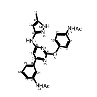 CC(=O)Nc1ccc(Oc2nc(Nc3cc(C)[nH]n3)cc(-c3cccc(NC(C)=O)c3)n2)cc1